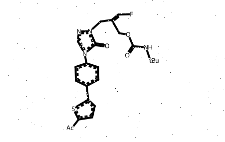 CC(=O)c1ccc(-c2ccc(-n3cnn(C/C(=C/F)COC(=O)NC(C)(C)C)c3=O)cc2)s1